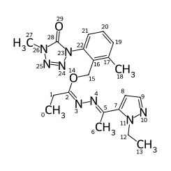 CC/C(=N/N=C(\C)c1ccnn1CC)OCc1c(C)cccc1-n1nnn(C)c1=O